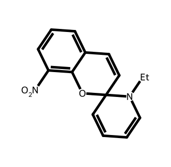 CCN1C=CC=CC12C=Cc1cccc([N+](=O)[O-])c1O2